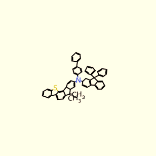 CC1(C)c2ccc3c(sc4ccccc43)c2C2C=CC(N(c3ccc(-c4ccccc4)cc3)C3C=CC4=C(C3)C(c3ccccc3)(c3ccccc3)c3ccccc34)=CC21